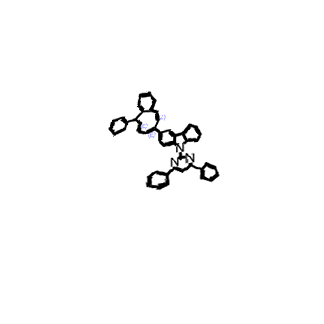 C1=C/c2ccccc2C(c2ccccc2)/C=C/C=C\1c1ccc2c(c1)c1ccccc1n2-c1nc(-c2ccccc2)cc(-c2ccccc2)n1